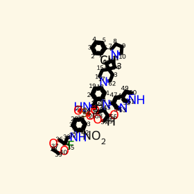 Cc1ccccc1[C@@H]1CCCN1C1CC2(CCN(c3ccc(C(=O)NS(=O)(=O)c4ccc(NC[C@@]5(F)COCCO5)c([N+](=O)[O-])c4)c(N4c5cc6cc[nH]c6nc5O[C@@H]5COC[C@H]54)c3)CC2)C1